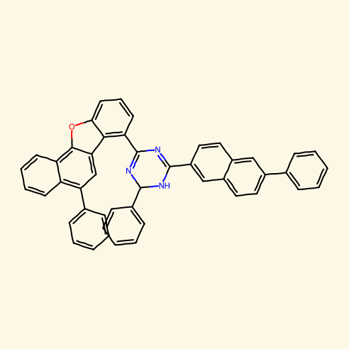 c1ccc(-c2ccc3cc(C4=NC(c5cccc6oc7c8ccccc8c(-c8ccccc8)cc7c56)=NC(c5ccccc5)N4)ccc3c2)cc1